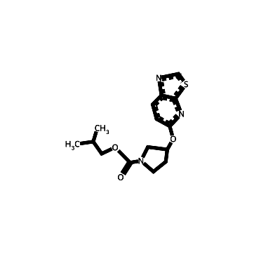 CC(C)COC(=O)N1CCC(Oc2ccc3n[c]sc3n2)C1